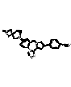 CN1CC2(CCN(c3ccc4c(c3)Cn3cc(-c5ccc(C#N)cc5)cc3-c3nncn3-4)C2)C1